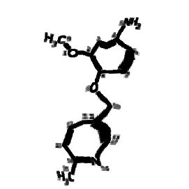 COc1cc(N)ccc1OCc1ccc(C)nc1